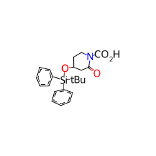 CC(C)(C)[Si](OC1CCN(C(=O)O)C(=O)C1)(c1ccccc1)c1ccccc1